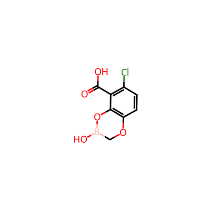 O=C(O)c1c(Cl)ccc2c1OB(O)CO2